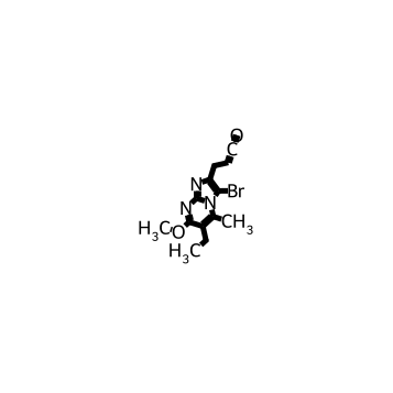 CCc1c(OC)nc2nc(CC=C=O)c(Br)n2c1C